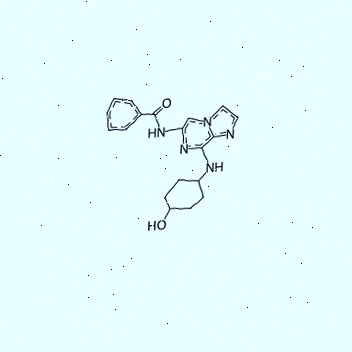 O=C(Nc1cn2ccnc2c(NC2CCC(O)CC2)n1)c1ccccc1